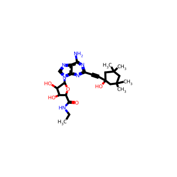 CCNC(=O)C1OC(n2cnc3c(N)nc(C#CC4(O)CC(C)(C)CC(C)(C)C4)nc32)C(O)C1O